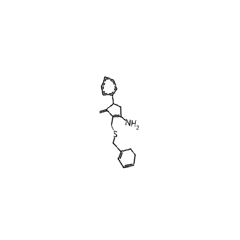 C=C1C(CSCC2=CC=CCC2)=C(N)CC1c1ccccc1